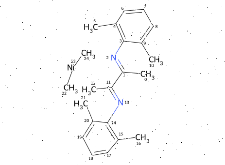 CC(=Nc1c(C)cccc1C)C(C)=Nc1c(C)cccc1C.[CH3][Ni][CH3]